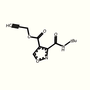 C#CCOC(=O)c1conc1C(=O)NC(C)(C)C